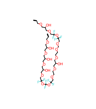 C=CCOCC(O)COCC(O)COCC(O)COCC(F)(F)OC(F)(F)OC(F)(F)COCCOCC(O)COCCOCOCC(F)(F)OC(F)(F)COCC(O)COCC=C